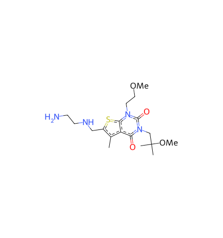 COCCn1c(=O)n(CC(C)(C)OC)c(=O)c2c(C)c(CNCCN)sc21